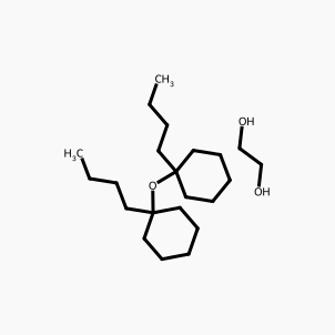 CCCCC1(OC2(CCCC)CCCCC2)CCCCC1.OCCO